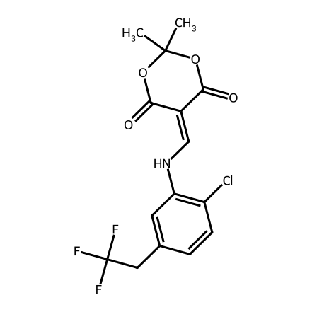 CC1(C)OC(=O)C(=CNc2cc(CC(F)(F)F)ccc2Cl)C(=O)O1